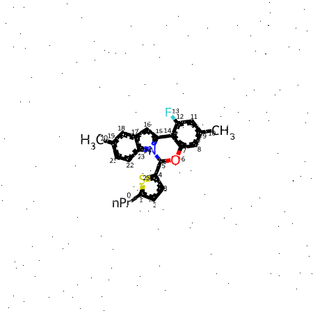 CCCc1ccc(C2Oc3cc(C)cc(F)c3-c3cc4cc(C)ccc4n32)s1